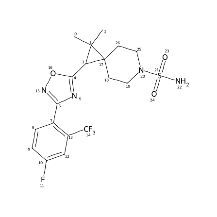 CC1(C)C(c2nc(-c3ccc(F)cc3C(F)(F)F)no2)C12CCN(S(N)(=O)=O)CC2